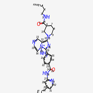 COCCNC(=O)C1CCCN(C2=C3C=NC=C[N+]3(N)C(c3ccc(C(=O)Nc4cc(C(F)(F)F)ccn4)cc3)=N2)C1